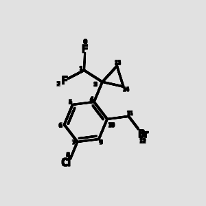 FC(F)C1(c2ccc(Cl)cc2CBr)CC1